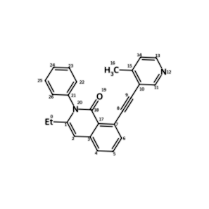 CCc1cc2cccc(C#Cc3cnccc3C)c2c(=O)n1-c1ccccc1